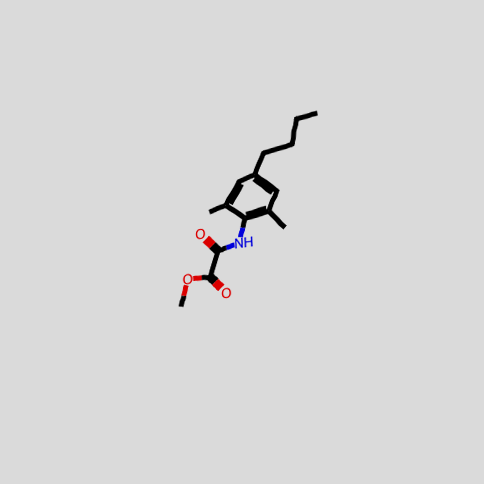 CCCCc1cc(C)c(NC(=O)C(=O)OC)c(C)c1